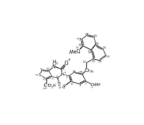 COc1cc(F)c(-n2c(=O)[nH]c3csc(C(=O)O)c3c2=O)cc1OCc1cccc2ccnc(OC)c12